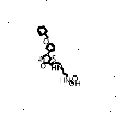 Cn1cc(-c2cccc(OCc3ccccc3)c2)c2sc(CNCCCNC(=O)O)cc2c1=O